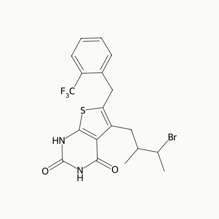 CC(Br)C(C)Cc1c(Cc2ccccc2C(F)(F)F)sc2[nH]c(=O)[nH]c(=O)c12